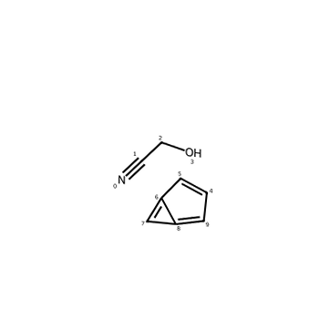 N#CCO.c1cc2cc-2c1